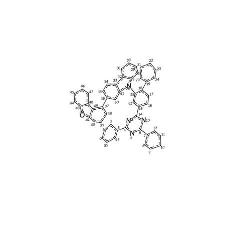 c1ccc(-c2nc(-c3ccccc3)nc(-c3ccc(-c4ccccc4)c(-n4c5ccccc5c5ccc(-c6cccc7oc8ccccc8c67)cc54)c3)n2)cc1